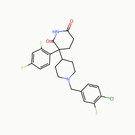 O=C1CCC(c2ccc(F)cc2F)(C2CCN(Cc3ccc(Cl)c(F)c3)CC2)C(=O)N1